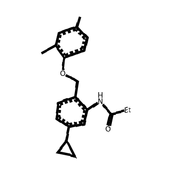 CCC(=O)Nc1cc(C2CC2)ccc1COc1ccc(C)cc1C